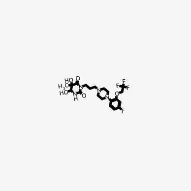 CC1(O)C(=O)N(CCCN2CCN(c3ccc(F)cc3OCC(F)(F)F)CC2)C(=O)NC1O